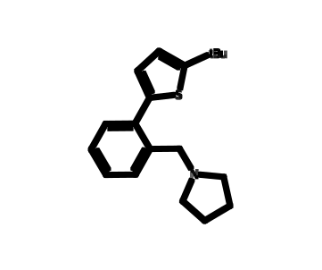 CC(C)(C)c1ccc(-c2ccccc2CN2CCCC2)s1